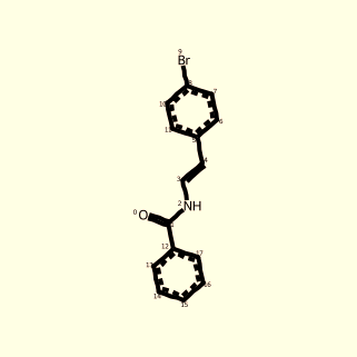 O=C(NC=Cc1ccc(Br)cc1)c1ccccc1